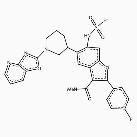 CCS(=O)(=O)Nc1cc2oc(-c3ccc(F)cc3)c(C(=O)NC)c2cc1C1CCCN(c2nc3ncccc3o2)C1